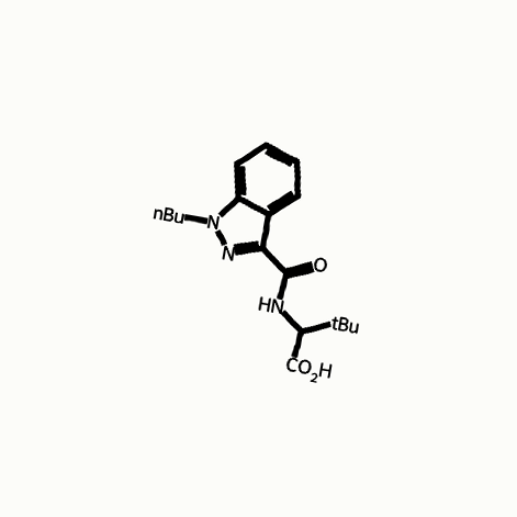 CCCCn1nc(C(=O)NC(C(=O)O)C(C)(C)C)c2ccccc21